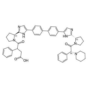 O=C(O)CC(C(=O)N1CCC[C@H]1c1ncc(-c2ccc(-c3ccc(-c4cnc([C@@H]5CCCN5C(=O)[C@@H](c5ccccc5)N5CCCCC5)[nH]4)cc3)cc2)[nH]1)c1ccccc1